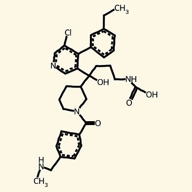 CCc1cccc(-c2c(Cl)cncc2C(O)(CCCNC(=O)O)C2CCCN(C(=O)c3ccc(CNC)cc3)C2)c1